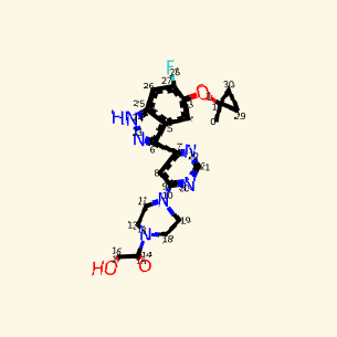 CC1(Oc2cc3c(-c4cc(N5CCN(C(=O)CO)CC5)ncn4)n[nH]c3cc2F)CC1